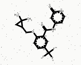 CC1(C)CC1COc1ccc(C(F)(F)F)cc1C(=O)Nc1cc[nH]c(=O)c1